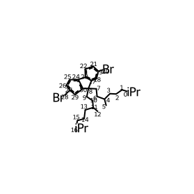 CC(C)CCCC(C)CCC1(CCC(C)CCCC(C)C)c2cc(Br)ccc2-c2ccc(Br)cc21